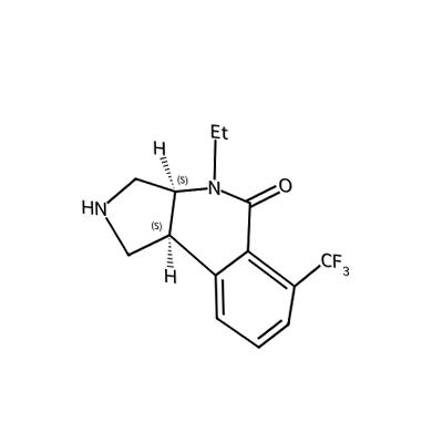 CCN1C(=O)c2c(cccc2C(F)(F)F)[C@H]2CNC[C@H]21